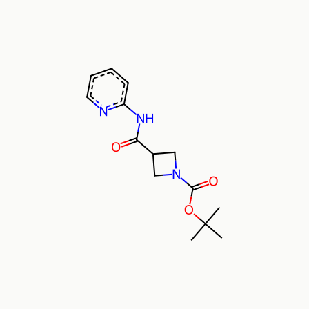 CC(C)(C)OC(=O)N1CC(C(=O)Nc2ccccn2)C1